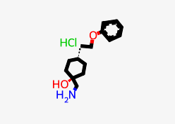 Cl.NC[C@]1(O)CC[C@H](CCOc2ccccc2)CC1